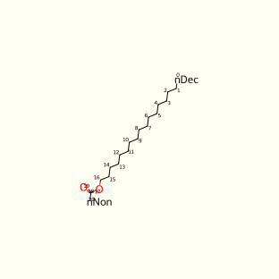 CCCCCCCCCCCCCCCCCCCCCCCCCCOC(=O)CCCCCCCCC